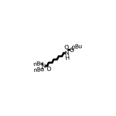 CCCCOC(=O)NCCCCCCCC(=O)N(CCCC)CCCC